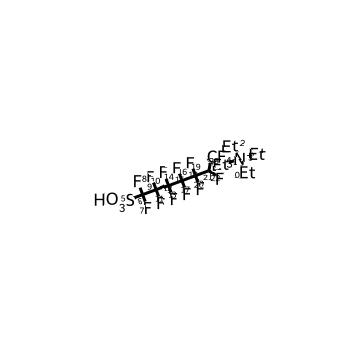 CC[N+](CC)(CC)CC.O=S(=O)(O)C(F)(F)C(F)(F)C(F)(F)C(F)(F)C(F)(F)C(F)C(F)(F)F